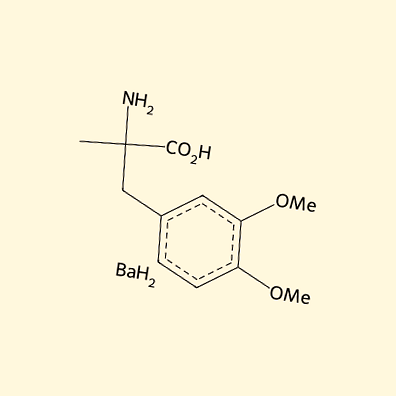 COc1ccc(CC(C)(N)C(=O)O)cc1OC.[BaH2]